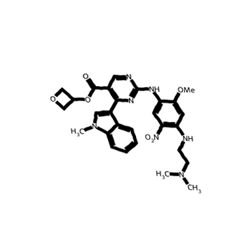 COc1cc(NCCN(C)C)c([N+](=O)[O-])cc1Nc1ncc(C(=O)OC2COC2)c(-c2cn(C)c3ccccc23)n1